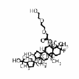 C[C@@H]1C23CCC(F)(F)C(C)(C)[C@@H]2[C@@H](OC(=O)COCCOCCO)C[C@@H]2[C@]13CC[C@]1(C)[C@@H]([C@]3(C)CCC(C(C)(C)O)O3)[C@@H](O)C[C@@]21C